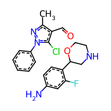 Cc1nn(-c2ccccc2)c(Cl)c1C=O.Nc1ccc(C2CNCCO2)c(F)c1